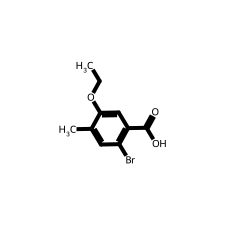 CCOc1cc(C(=O)O)c(Br)cc1C